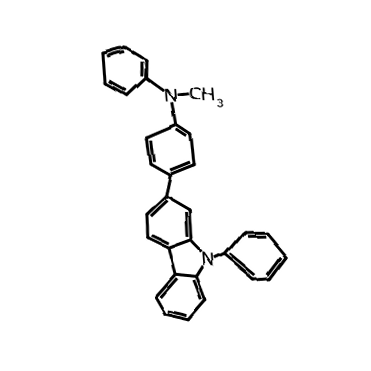 CN(c1ccccc1)c1ccc(-c2ccc3c4ccccc4n(-c4ccccc4)c3c2)cc1